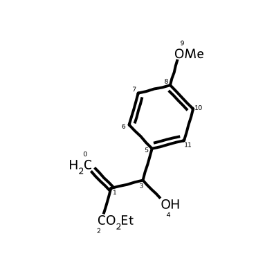 C=C(C(=O)OCC)C(O)c1ccc(OC)cc1